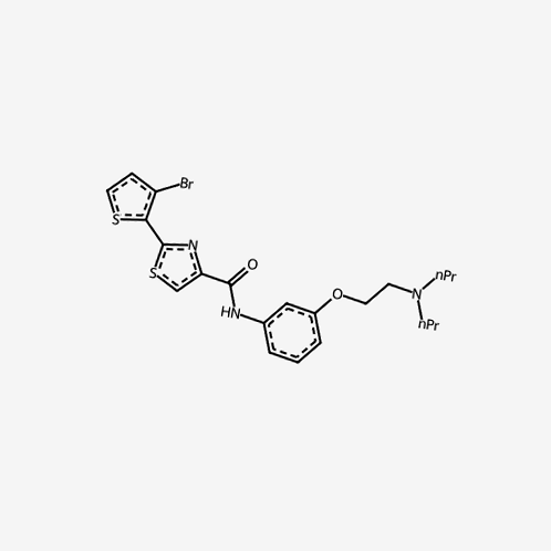 CCCN(CCC)CCOc1cccc(NC(=O)c2csc(-c3sccc3Br)n2)c1